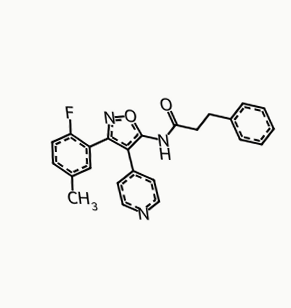 Cc1ccc(F)c(-c2noc(NC(=O)CCc3ccccc3)c2-c2ccncc2)c1